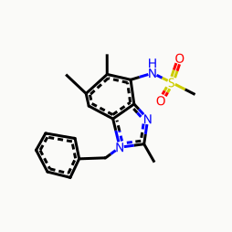 Cc1cc2c(nc(C)n2Cc2ccccc2)c(NS(C)(=O)=O)c1C